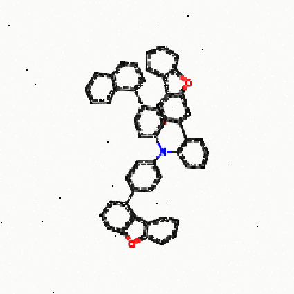 c1ccc(N(c2ccc(-c3cccc4ccccc34)cc2)c2ccc(-c3cccc4oc5ccccc5c34)cc2)c(-c2ccc3c(c2)oc2ccccc23)c1